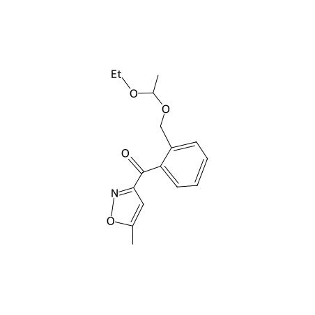 CCOC(C)OCc1ccccc1C(=O)c1cc(C)on1